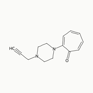 C#CCN1CCN(c2cccccc2=O)CC1